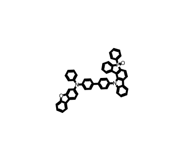 O=P1(c2ccccc2)c2ccccc2-c2c1ccc1c3ccccc3n(-c3ccc(-c4ccc(N(c5ccccc5)c5ccc6c(c5)oc5ccccc56)cc4)cc3)c21